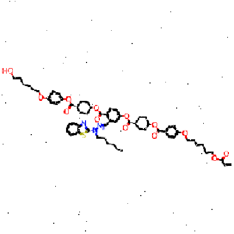 C=CC(=O)OCCCCCCOc1ccc(C(=O)O[C@H]2CC[C@H](C(=O)Oc3ccc(C(=O)O[C@H]4CC[C@H](C(=O)Oc5ccc(OCCCCCCO)cc5)CC4)c(/C=N/N(CCCCCC)c4nc5ccccc5s4)c3)CC2)cc1